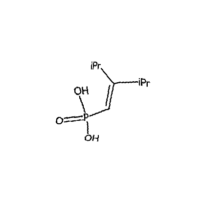 CC(C)C(=CP(=O)(O)O)C(C)C